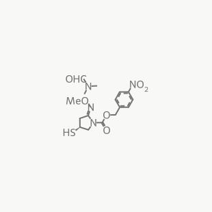 CN(C)C=O.CON=C1C[C@H](S)CN1C(=O)OCc1ccc([N+](=O)[O-])cc1